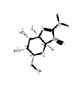 C#[SH]1C(N(C)C)=N[C@@H]2[C@@H](O)[C@@H](O)[C@@H](CO)O[C@@H]21